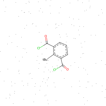 CC(C)(C)c1c(C(=O)Cl)cccc1C(=O)Cl